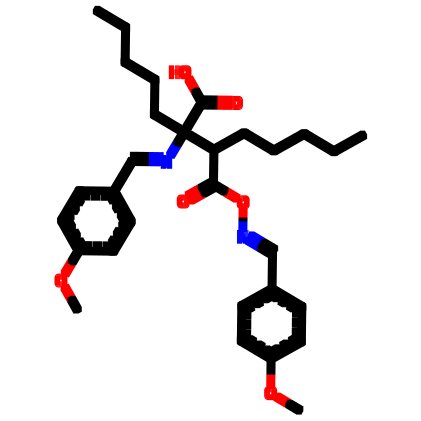 CCCCCC(C(=O)ON=Cc1ccc(OC)cc1)C(CCCCC)(N=Cc1ccc(OC)cc1)C(=O)O